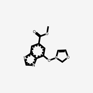 COC(=O)c1cc(ON2C=COC2)c2ncsc2c1